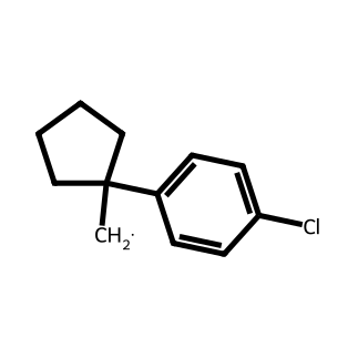 [CH2]C1(c2ccc(Cl)cc2)CCCC1